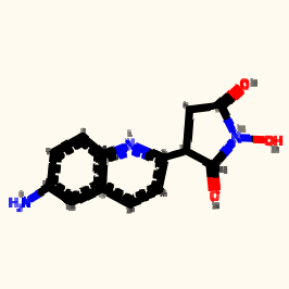 Nc1ccc2nc(C3CC(=O)N(O)C3=O)ccc2c1